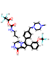 CN1CCN(Cc2ccc(-c3c(-c4cccc(OC(F)(F)F)c4)cc4n3[C@@H](CCCNC(=O)OC(=O)C(F)(F)F)CNC4=O)cc2)CC1